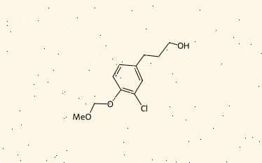 COCOc1ccc(CCCO)cc1Cl